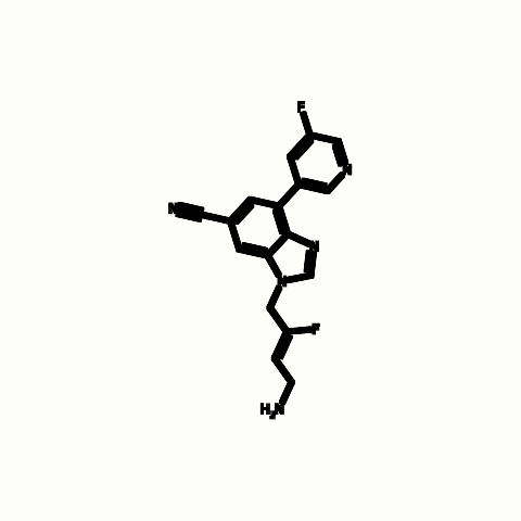 N#Cc1cc(-c2cncc(F)c2)c2ncn(C/C(F)=C/CN)c2c1